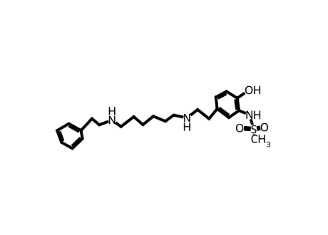 CS(=O)(=O)Nc1cc(CCNCCCCCCNCCc2ccccc2)ccc1O